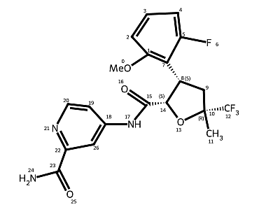 COc1cccc(F)c1[C@@H]1C[C@](C)(C(F)(F)F)O[C@@H]1C(=O)Nc1ccnc(C(N)=O)c1